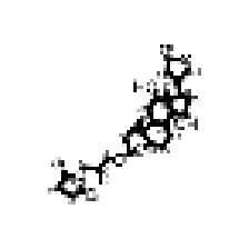 CC12CCC(OCC(=O)CN3C(=O)CCC3=O)CC1CCC1C2CC(O)C2(C)C(C3=CC(=O)OC3)CCC12O